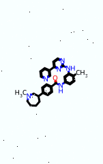 Cc1ccc(NC(=O)c2ccc(C3CCCCN(C)C3)cc2)cc1Nc1nccc(-c2cccnc2)n1